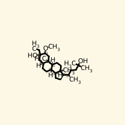 CC[C@@]1(O)C[C@@H]2CC[C@@H]3[C@H](CC[C@]4(C)[C@@H]([C@H](C)CCC(C)(C)O)CC[C@@H]34)[C@@]2(C)C[C@@H]1OC